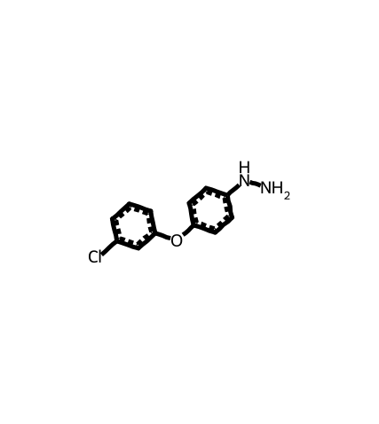 NNc1ccc(Oc2cccc(Cl)c2)cc1